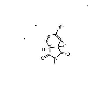 CCCC1=C2OC23C(=O)NC(=O)[C@H]3C=C1